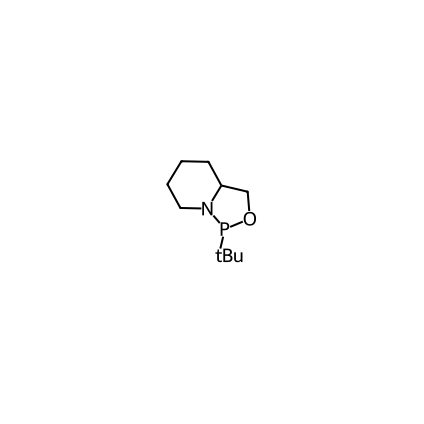 CC(C)(C)P1OCC2CCCCN21